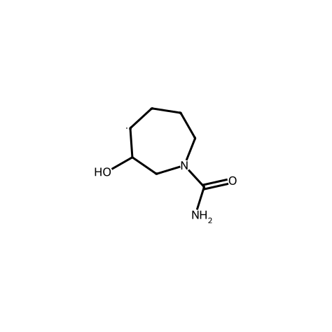 NC(=O)N1CCC[CH]C(O)C1